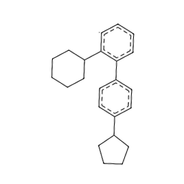 [c]1cccc(-c2ccc(C3CCCC3)cc2)c1C1CCCCC1